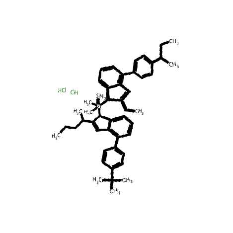 CCCC(C)C1=Cc2c(-c3ccc(C(C)(C)C)cc3)cccc2[CH]1[Zr]([CH3])([CH3])(=[SiH2])[CH]1C(CC)=Cc2c(-c3ccc(C(C)CC)cc3)cccc21.Cl.Cl